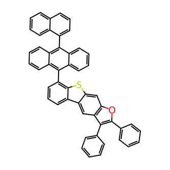 c1ccc(-c2oc3cc4sc5c(-c6c7ccccc7c(-c7cccc8ccccc78)c7ccccc67)cccc5c4cc3c2-c2ccccc2)cc1